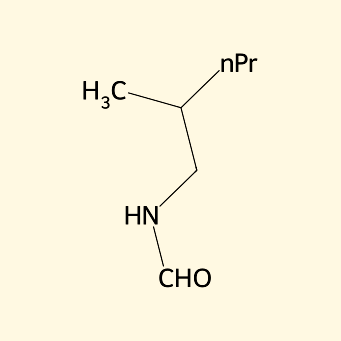 CCCC(C)CNC=O